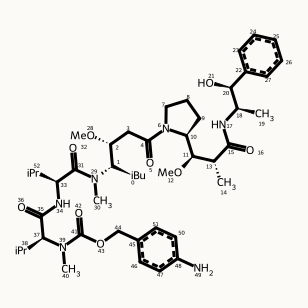 CC[C@H](C)[C@@H]([C@@H](CC(=O)N1CCC[C@H]1[C@H](OC)[C@@H](C)C(=O)N[C@H](C)[C@@H](O)c1ccccc1)OC)N(C)C(=O)[C@@H](NC(=O)[C@H](C(C)C)N(C)C(=O)OCc1ccc(N)cc1)C(C)C